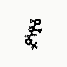 O=C(Nc1ccnc(C(F)(F)F)c1)c1snc(-c2ccccc2Cl)c1C1CC1